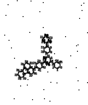 c1ccc(-c2cc(-c3ccc(-c4ncncn4)cc3)nc(-c3ccc(-c4ccc5c6c(cccc46)-c4ccccc4-5)cc3)n2)cc1